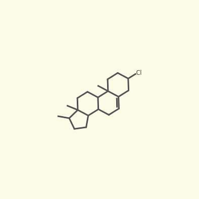 CC1CCC2C3CC=C4CC(Cl)CCC4(C)C3CCC12C